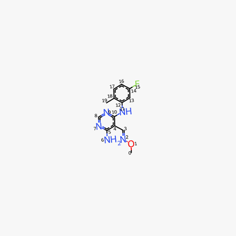 CO/N=C/c1c(N)ncnc1Nc1cc(F)ccc1C